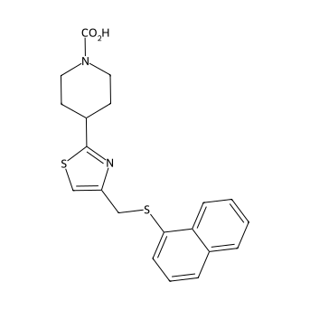 O=C(O)N1CCC(c2nc(CSc3cccc4ccccc34)cs2)CC1